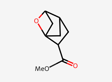 COC(=O)C1CC2CC13CC2O3